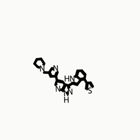 c1cc(-c2ccsc2)c2cc(-c3n[nH]c4ncc(-c5cncc(CN6CCCCC6)c5)cc34)[nH]c2c1